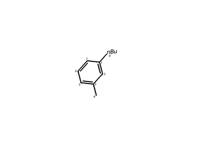 CCCCc1[c]c(C)c[c]c1